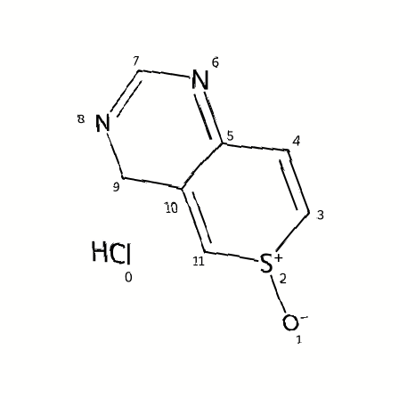 Cl.[O-][S+]1C=CC2=NC=NCC2=C1